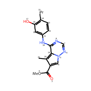 COC(=O)c1cn2ncnc(Nc3ccc(C(C)C)c(O)c3)c2c1C